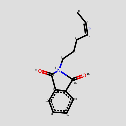 C/C=C\CCCN1C(=O)c2ccccc2C1=O